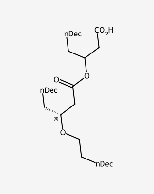 CCCCCCCCCCCCO[C@H](CCCCCCCCCCC)CC(=O)OC(CCCCCCCCCCC)CC(=O)O